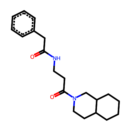 O=C(Cc1ccccc1)NCCC(=O)N1CCC2CCCCC2C1